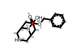 O=C(OCc1ccccc1)N1C2CNCC1CC(O)C2